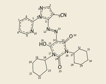 N#Cc1cnn(-c2ccccn2)c1N=Nc1c(O)n(C2CCCCC2)c(=O)n(C2CCCCC2)c1=O